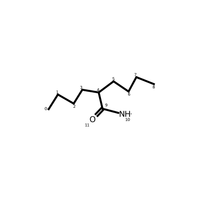 CCCCC(CCCC)C([NH])=O